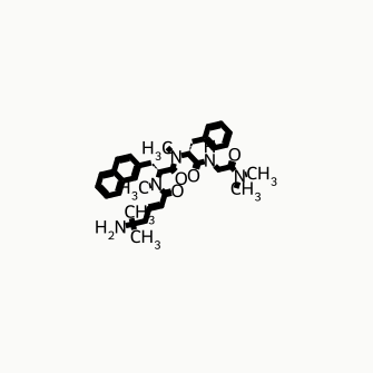 CN(C)C(=O)CNC(=O)[C@@H](Cc1ccccc1)N(C)C(=O)[C@@H](Cc1ccc2ccccc2c1)N(C)C(=O)/C=C/CC(C)(C)N